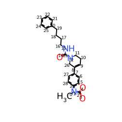 Cn1c(=O)oc2cc(C3=CCCN(C(=O)NCCCCc4ccccc4)C3)ccc21